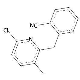 Cc1ccc(Cl)nc1Cc1ccccc1C#N